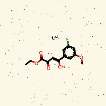 CCOC(=O)C(=O)C=C(O)c1cc(F)cc(OC)c1.[LiH]